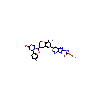 COC(=O)Nc1nc2ncc(-c3cc(C)c4c(c3)CN(C(=O)N3CCC(=O)CC3c3ccc(F)cc3)CCO4)cc2[nH]1